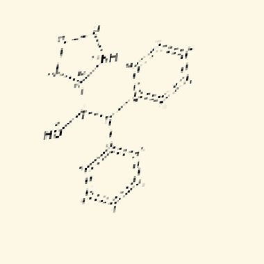 OC(C(c1ccccc1)c1ccccc1)[C@@H]1CCCN1